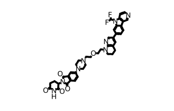 O=C1CCC(N2C(=O)c3ccc(N4CCN(CCOCCN5CCCc6cc(-c7ccc8c9cnccc9n(C(F)F)c8c7)cnc65)CC4)cc3C2=O)C(=O)N1